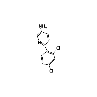 Nc1ccc(-c2ccc(Cl)cc2Cl)nc1